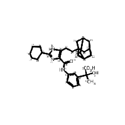 CC(O)(C(=O)O)c1cccc(NC(=O)c2nc(C3CCCCC3)[nH]c2CCC23CC4CC(CC(C4)C2)C3)c1